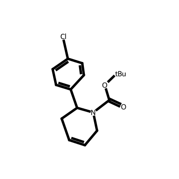 CC(C)(C)OC(=O)N1CC=CCC1c1ccc(Cl)cc1